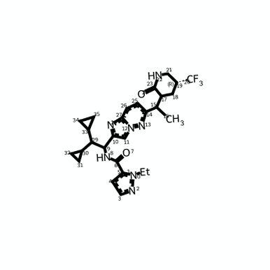 CCn1nccc1C(=O)NC(c1cn2nc(C(C)C3C[C@@H](C(F)(F)F)CNC3=O)ccc2n1)C(C1CC1)C1CC1